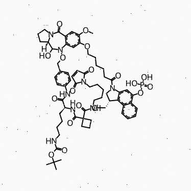 COc1cc2c(cc1OCCCCCC(=O)N1C[C@@H](CCl)c3c1cc(OP(=O)(O)O)c1ccccc31)N(OCc1ccc(NC(=O)[C@H](CCCCNC(=O)OC(C)(C)C)NC(=O)C3(C(=O)NCCCCCN4C(=O)C=CC4=O)CCC3)cc1)C(O)[C@@H]1CCCN1C2=O